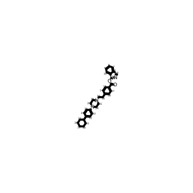 O=C(On1nnc2ccccc21)c1ccc(CCN2CCN(c3ccc(C4CCCCC4)cc3)CC2)cc1